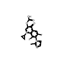 Cc1nccn1-c1c(F)cc2c(=O)c(OC(=O)O)cn(C3CC3)c2c1F